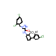 O=C(Nc1cccc(-c2ccc(Cl)cc2)c1S(=O)(=O)O)c1cn(Cc2ccc(Cl)cc2Cl)nn1